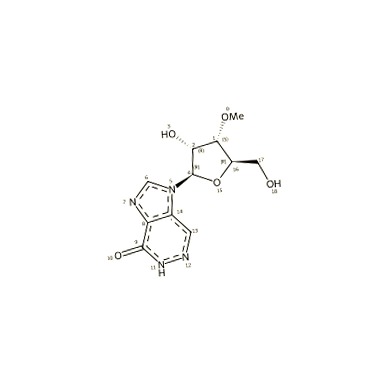 CO[C@H]1[C@@H](O)[C@H](n2cnc3c(=O)[nH]ncc32)O[C@@H]1CO